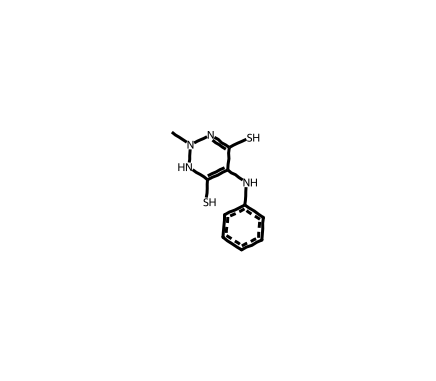 CN1N=C(S)C(Nc2ccccc2)=C(S)N1